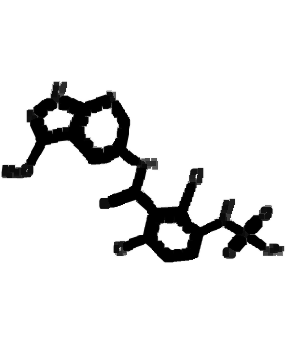 CCCS(=O)(=O)Nc1ccc(Cl)c(C(=O)Nc2cnc3[nH]nc(OC)c3c2)c1Cl